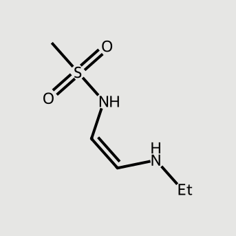 CCN/C=C\NS(C)(=O)=O